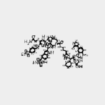 CCS(=O)(=O)c1ccc(CNC(=O)[C@H](CCC(N)=O)NC(=O)[C@@H]2CC[C@@H]3CCN(C(=O)CCCCc4cn([C@@H](C(=O)N5C[C@H](O)C[C@H]5C(=O)N[C@H](C)c5ccc(-c6scnc6C)cc5)C5CCCCC5)nn4)C[C@H](NC(=O)c4cc5cc(C(=O)P(=O)(O)O)ccc5[nH]4)C(=O)N32)cc1